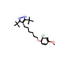 COc1ccc(OCCCCCCc2c(C(C)(C)C)n[nH]c2C(C)(C)C)c(Cl)c1